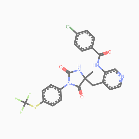 CC1(Cc2ccncc2NC(=O)c2ccc(Cl)cc2)NC(=O)N(c2ccc(SC(F)(F)F)cc2)C1=O